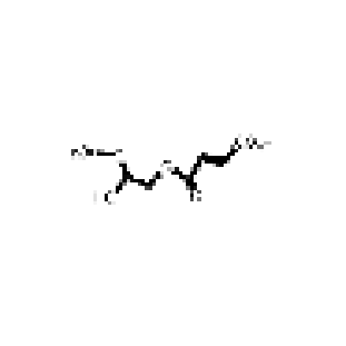 CCCCOC(C)COC(=O)/C=C/C(=O)O